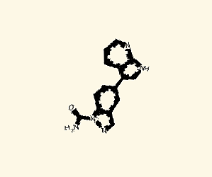 NC(=O)n1n[c]c2cc(-c3c[nH]c4ncccc34)ccc21